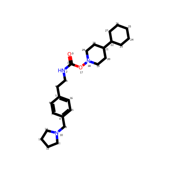 O=C(NCCc1ccc(CN2CCCC2)cc1)ON1CCC(C2CCCCC2)CC1